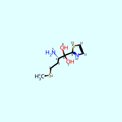 CSCC[C@H](N)C(O)(O)c1nccs1